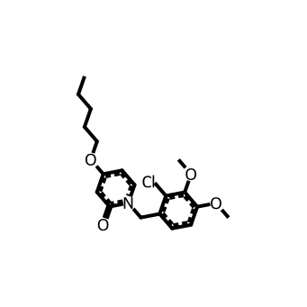 CCCCCOc1ccn(Cc2ccc(OC)c(OC)c2Cl)c(=O)c1